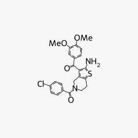 COc1ccc(C(=O)c2c(N)sc3c2CN(C(=O)c2ccc(Cl)cc2)CC3)cc1OC